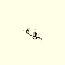 COC(=O)c1cccc(NCc2cc(C)c(C)o2)c1C(=O)OC